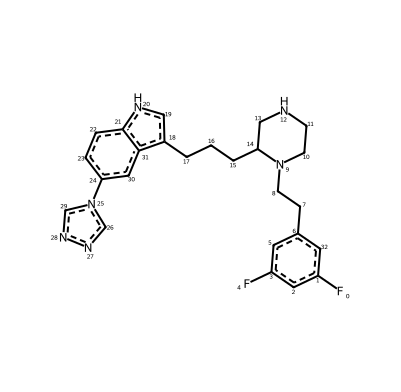 Fc1cc(F)cc(CCN2CCNCC2CCCc2c[nH]c3ccc(-n4cnnc4)cc23)c1